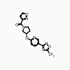 O=C(c1ccon1)N1CC[C@@H](Oc2ccc(-c3noc(C(F)(F)F)n3)cn2)C1